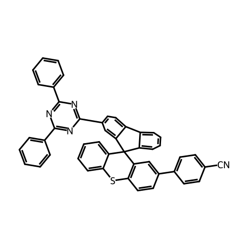 N#Cc1ccc(-c2ccc3c(c2)C2(c4ccccc4S3)c3ccccc3-c3ccc(-c4nc(-c5ccccc5)nc(-c5ccccc5)n4)cc32)cc1